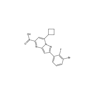 O=C(O)c1cc(C2CCC2)n2nc(-c3cccc(Br)c3F)cc2n1